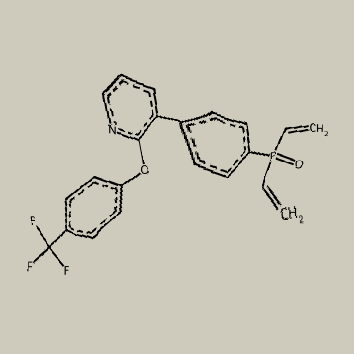 C=CP(=O)(C=C)c1ccc(-c2cccnc2Oc2ccc(C(F)(F)F)cc2)cc1